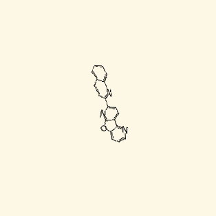 c1ccc2nc(-c3ccc4c(n3)oc3cccnc34)ccc2c1